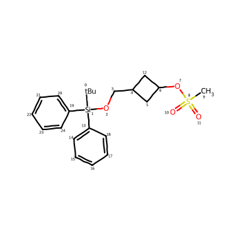 CC(C)(C)[Si](OCC1CC(OS(C)(=O)=O)C1)(c1ccccc1)c1ccccc1